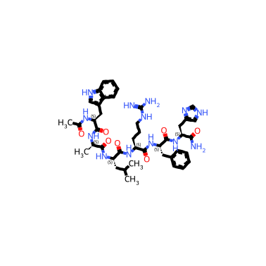 CC(=O)N[C@@H](Cc1c[nH]c2ccccc12)C(=O)N[C@@H](C)C(=O)N[C@@H](CC(C)C)C(=O)N[C@@H](CCCNC(=N)N)C(=O)N[C@@H](Cc1ccccc1)C(=O)N[C@@H](Cc1c[nH]cn1)C(N)=O